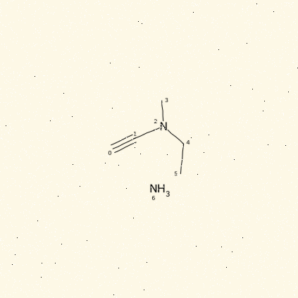 C#CN(C)CC.N